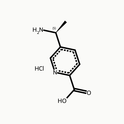 C[C@H](N)c1ccc(C(=O)O)nc1.Cl